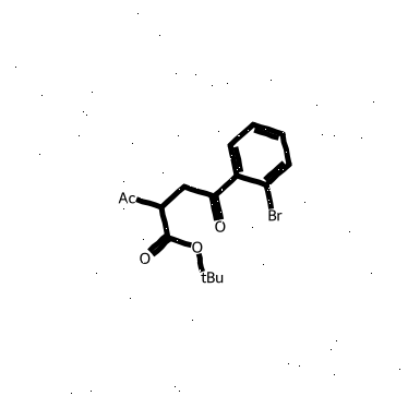 CC(=O)C(CC(=O)c1ccccc1Br)C(=O)OC(C)(C)C